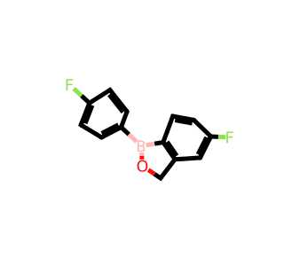 Fc1ccc(B2OCc3cc(F)ccc32)cc1